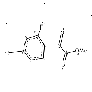 COC(=O)C(=O)c1ccc(F)cc1F